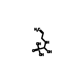 C=CCNC(O)P(=O)(O)O